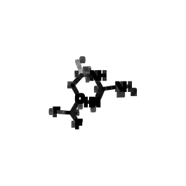 C[C@@H](COC(F)F)NC(=N)N